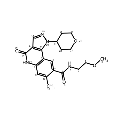 COCCNC(=O)c1cc2c(cc1C)[nH]c(=O)c1cnn(C3CCOCC3)c12